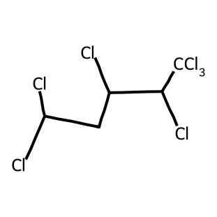 ClC(Cl)CC(Cl)C(Cl)C(Cl)(Cl)Cl